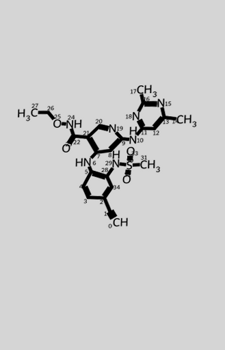 C#Cc1ccc(Nc2cc(Nc3cc(C)nc(C)n3)ncc2C(=O)NOCC)c(NS(C)(=O)=O)c1